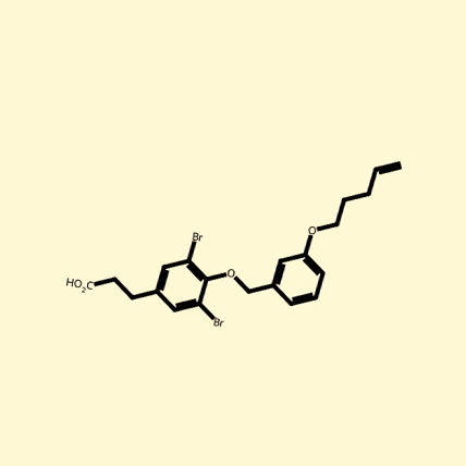 C=CCCCOc1cccc(COc2c(Br)cc(CCC(=O)O)cc2Br)c1